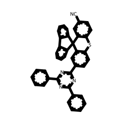 N#Cc1ccc2c(c1)C1(c3cc(-c4nc(-c5ccccc5)nc(-c5ccccc5)n4)ccc3S2)c2ccccc2-c2ccccc21